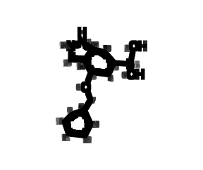 OB(O)c1cc(OCc2ccccc2)c2cn[nH]c2c1